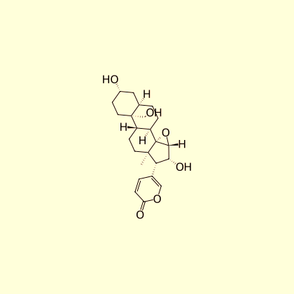 C[C@]12CC[C@H]3[C@@H](CC[C@@H]4C[C@@H](O)CC[C@@]43CO)[C@]13O[C@@H]3[C@H](O)[C@@H]2c1ccc(=O)oc1